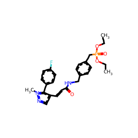 CCOP(=O)(Cc1ccc(CNC(=O)C=Cc2cnn(C)c2-c2ccc(F)cc2)cc1)OCC